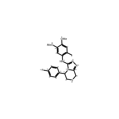 COc1cc(C)c(Nc2nnc3n2C(c2ccc(F)cc2)CSC3)cc1OC